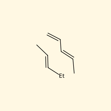 C=CC=CC.CC=CCC